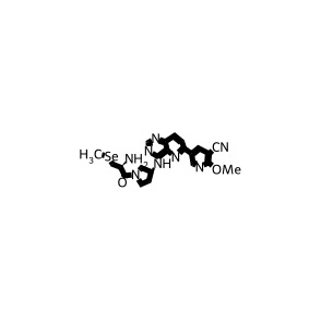 COc1ncc(-c2ccc3ncnc(N[C@H]4CCN(C(=O)[C@@H](N)C[Se]C)C4)c3n2)cc1C#N